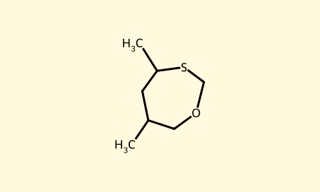 CC1COCSC(C)C1